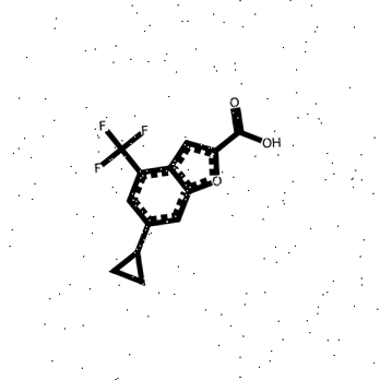 O=C(O)c1cc2c(C(F)(F)F)cc(C3CC3)cc2o1